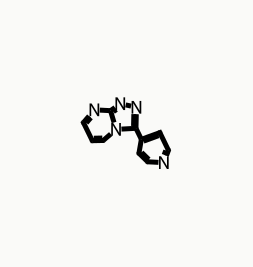 c1cnc2nnc(-c3ccncc3)n2c1